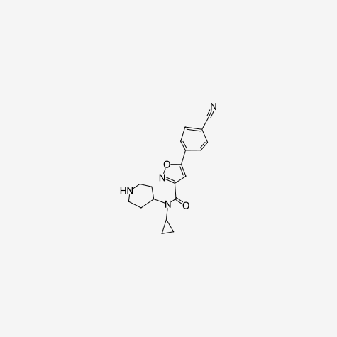 N#Cc1ccc(-c2cc(C(=O)N(C3CCNCC3)C3CC3)no2)cc1